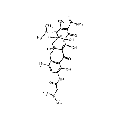 CN(C)CC(=O)Nc1cc(N)c2c(c1O)C(=O)C1=C(O)[C@@]3(O)C(=O)C(C(N)=O)=C(O)[C@@H](N(C)C)[C@H]3C[C@H]1C2